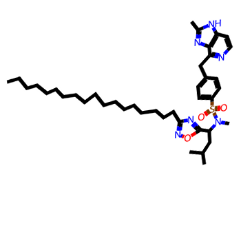 CCCCCCCCCCCCCCCCCCc1noc(C(CC(C)C)N(C)S(=O)(=O)c2ccc(Cc3nccc4[nH]c(C)nc34)cc2)n1